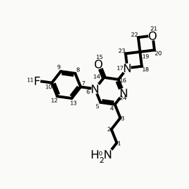 NCCCc1cn(-c2ccc(F)cc2)c(=O)c(N2CC3(COC3)C2)n1